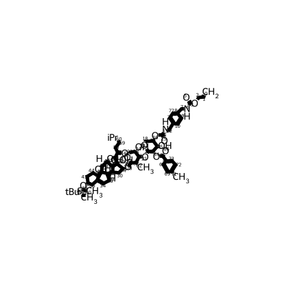 C=CCOC(=O)NCc1ccc(CNC(=O)OC2COC(OC3C(O)COC(O[C@H]4C[C@H]5[C@@H]6CC=C7C[C@@H](O[Si](C)(C)C(C)(C)C)CC[C@]7(C)C6CC[C@]5(C)[C@@]4(O)[C@H](C)C(=O)CCC(C)C)C3C)C(OC(=O)c3ccc(C)cc3)C2O)cc1